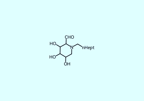 CCCCCCCCN1CC(O)C(O)C(O)C1C=O